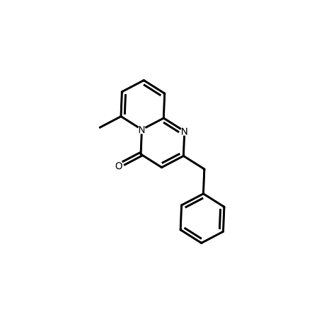 Cc1cccc2nc(Cc3ccccc3)cc(=O)n12